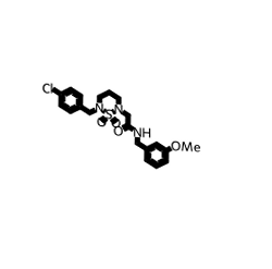 COc1cccc(CNC(=O)CN2CCCN(Cc3ccc(Cl)cc3)S2(=O)=O)c1